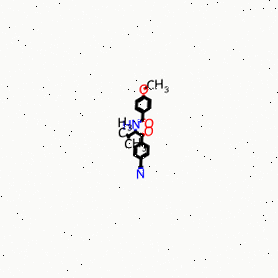 COc1ccc(C(=O)NC(C(=O)c2ccc(C#N)cc2)C(C)C)cc1